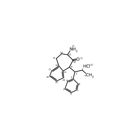 CCC(c1ccccc1)C1C(=O)C(N)CCc2ccccc21.Cl